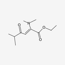 CCOC(=O)C(=CC(=O)C(C)C)N(C)C